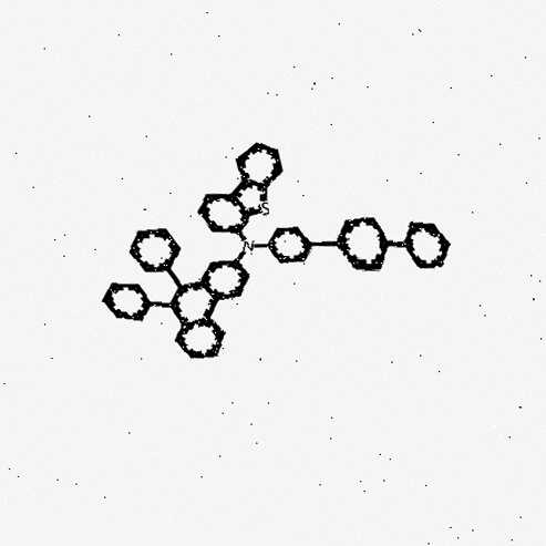 c1ccc(-c2ccc(-c3ccc(N(c4ccc5c(c4)c(-c4ccccc4)c(-c4ccccc4)c4ccccc45)c4cccc5c4sc4ccccc45)cc3)cc2)cc1